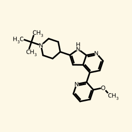 COc1cccnc1-c1ccnc2[nH]c(C3CCN(C(C)(C)C)CC3)cc12